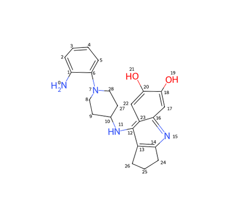 Nc1ccccc1N1CCC(Nc2c3c(nc4cc(O)c(O)cc24)CCC3)CC1